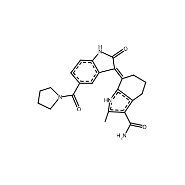 Cc1[nH]c2c(c1C(N)=O)CCC/C2=C1\C(=O)Nc2ccc(C(=O)N3CCCC3)cc21